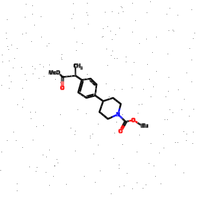 COC(=O)C(C)c1ccc(C2CCN(C(=O)OC(C)(C)C)CC2)cc1